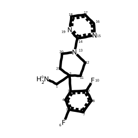 NCC1(c2cc(F)ccc2F)CCN(c2ncccn2)CC1